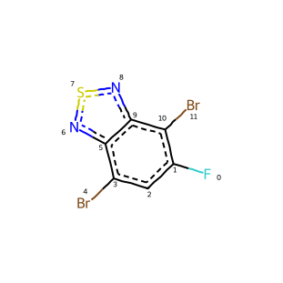 Fc1cc(Br)c2nsnc2c1Br